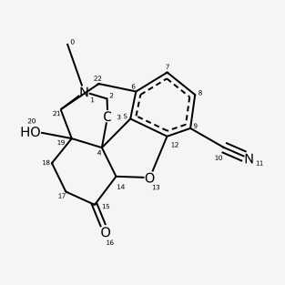 CN1CCC23c4c5ccc(C#N)c4OC2C(=O)CCC3(O)C1C5